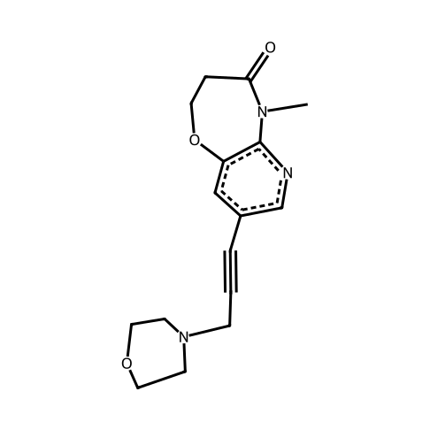 CN1C(=O)CCOc2cc(C#CCN3CCOCC3)cnc21